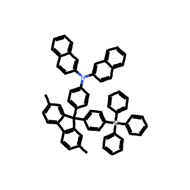 Cc1ccc2c(c1)C(c1ccc(N(c3ccc4ccccc4c3)c3ccc4ccccc4c3)cc1)(c1ccc([Si](c3ccccc3)(c3ccccc3)c3ccccc3)cc1)c1cc(C)ccc1-2